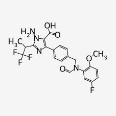 COc1ccc(F)cc1N(C=O)Cc1ccc(-c2nc(C(C)C(F)(F)F)n(N)c2C(=O)O)cc1